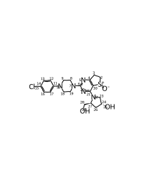 [O-][S+]1CCc2nc(N3CCN(c4ccc(Cl)cc4)CC3)nc(N3C[C@H](O)C[C@H]3CO)c21